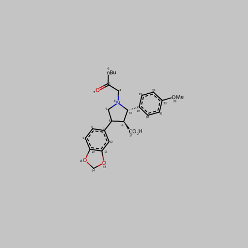 CCCCC(=O)CN1CC(c2ccc3c(c2)OCO3)[C@H](C(=O)O)[C@H]1c1ccc(OC)cc1